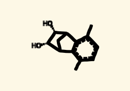 Cc1ccc(C)c2c1C1CC2[C@H](O)[C@@H]1O